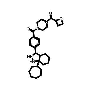 O=C(c1ccc(C2NNC3(C4CCCCCC4)CCCCC23)cc1)N1CCN(C(=O)C2CCO2)CC1